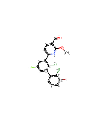 COc1nc(-c2cc(F)cc(-c3cccc(Br)c3Cl)c2Cl)ccc1C=O